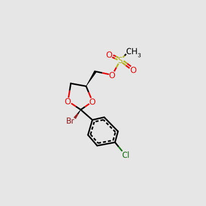 CS(=O)(=O)OC[C@@H]1CO[C@@](Br)(c2ccc(Cl)cc2)O1